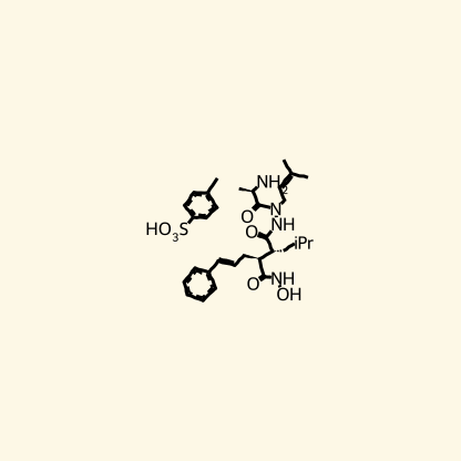 CC(C)=CCN(NC(=O)[C@H](CC(C)C)[C@H](CC=Cc1ccccc1)C(=O)NO)C(=O)[C@@H](C)N.Cc1ccc(S(=O)(=O)O)cc1